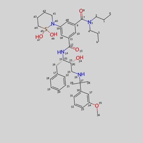 CCCN(CCC)C(=O)c1cc(C(=O)N[C@@H](Cc2ccccc2)[C@H](O)CNC(C)(C)c2cccc(OC)c2)cc(N2CCCCS2(O)O)c1